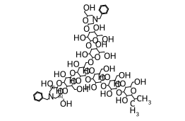 CC(C)C1OC(CO)C(O)C(OC2OC(CO)C(O)C(OC3OC(CO)C(O)C(OC4OC(COC5OC(CO)C(O)C(OC6OC(CO)C(O)C(OC7CN(Cc8ccccc8)CC(CO)O7)C6O)C5O)C(O)C(OC5OC(CO)C(O)C(OC6O[C@H](CO)CN(Cc7ccccc7)C[C@H]6O)C5O)C4O)C3O)C2O)C1O